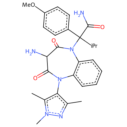 COc1ccc(C(C(N)=O)(C(C)C)N2C(=O)C(N)C(=O)N(c3c(C)nn(C)c3C)c3ccccc32)cc1